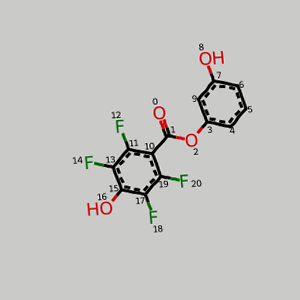 O=C(Oc1cccc(O)c1)c1c(F)c(F)c(O)c(F)c1F